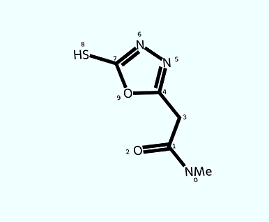 CNC(=O)Cc1nnc(S)o1